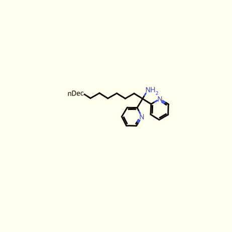 CCCCCCCCCCCCCCCCC(N)(c1ccccn1)c1ccccn1